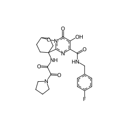 O=C(NC12CCC(CC1)Cn1c2nc(C(=O)NCc2ccc(F)cc2)c(O)c1=O)C(=O)N1CCCC1